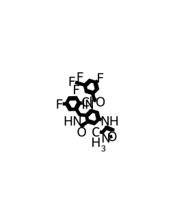 Cc1nocc1Nc1cc(NC(=O)c2cc(F)cc(C(F)(F)F)c2)c2c(c1)C(=O)NC2c1cc(F)ccc1Cl